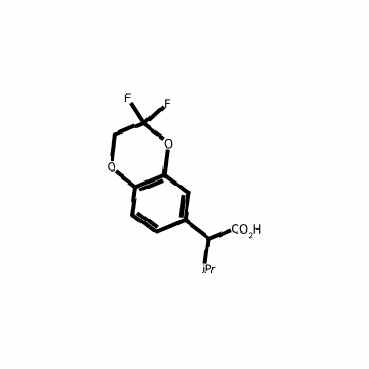 CC(C)C(C(=O)O)c1ccc2c(c1)OC(F)(F)CO2